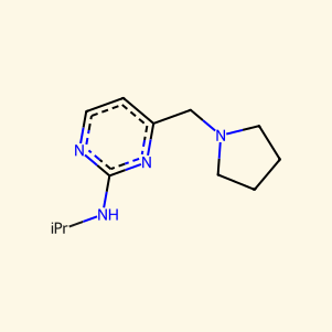 CC(C)Nc1nccc(CN2CCCC2)n1